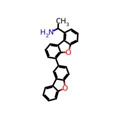 CC(N)c1cccc2oc3c(-c4ccc5oc6ccccc6c5c4)cccc3c12